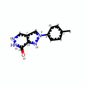 Cc1ccc(-n2cc3cn[nH]c(=O)c3n2)cc1